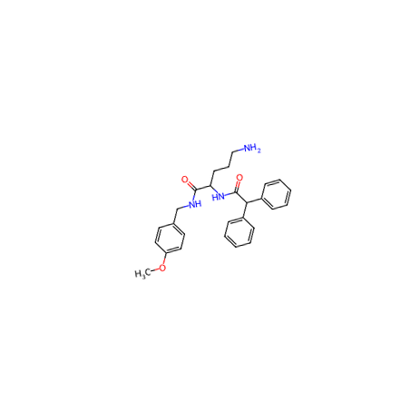 COc1ccc(CNC(=O)C(CCCN)NC(=O)C(c2ccccc2)c2ccccc2)cc1